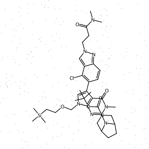 CN(C)C(=O)CCn1cc2c(Cl)c(-c3cn(COCC[Si](C)(C)C)c4nc(N5C6CCC5CN(C(=O)OC(C)(C)C)C6)n(C)c(=O)c34)ccc2n1